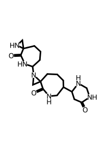 O=C1CC(C2CCCC3(CN3C3CCCC4(CN4)C(=O)N3)C(=O)NC2)NCN1